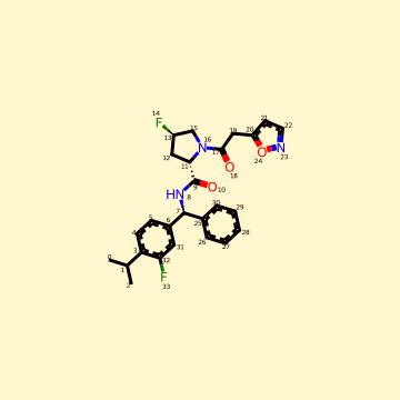 CC(C)c1ccc([C@@H](NC(=O)[C@@H]2C[C@@H](F)CN2C(=O)Cc2ccno2)c2ccccc2)cc1F